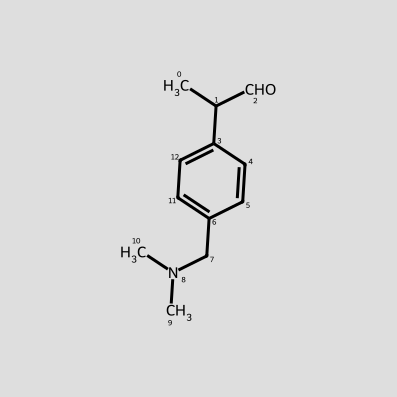 CC(C=O)c1ccc(CN(C)C)cc1